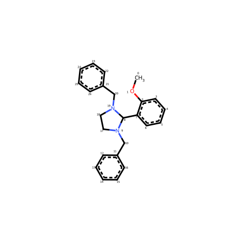 COc1ccccc1C1N(Cc2ccccc2)CCN1Cc1ccccc1